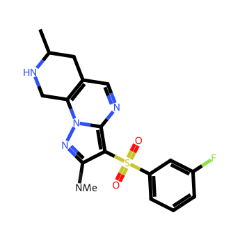 CNc1nn2c3c(cnc2c1S(=O)(=O)c1cccc(F)c1)CC(C)NC3